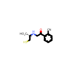 N#Cc1ccccc1C(=O)CN[C@H](CS)C(=O)O